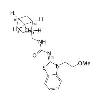 COCCn1/c(=N/C(=O)NC[C@@H]2CC[C@H]3C[C@@H]2C3(C)C)sc2ccccc21